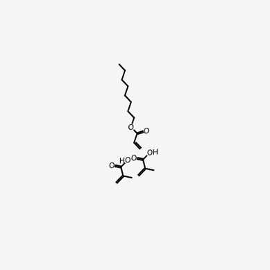 C=C(C)C(=O)O.C=C(C)C(=O)O.C=CC(=O)OCCCCCCCC